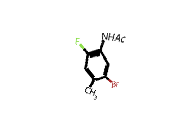 CC(=O)Nc1cc(Br)c(C)cc1F